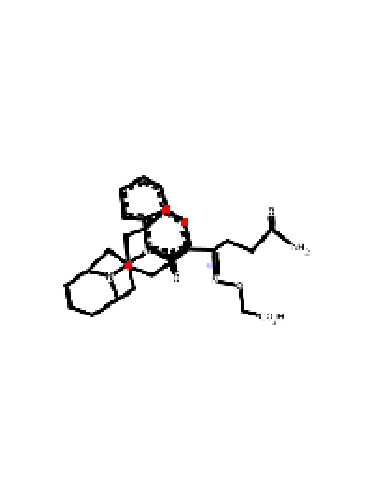 NC(=O)CC/C(=N\OCC(=O)O)c1nc2ccccc2n(C2CC3CCCC(C2)N3C2CC3CCCC(C3)C2)c1=O